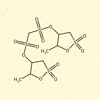 CC1OS(=O)(=O)CC1OS(=O)(=O)CS(=O)(=O)OC1CS(=O)(=O)OC1C